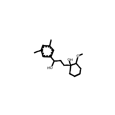 COC1C[CH]CCC1(O)CCC(O)c1cc(C)cc(C)c1